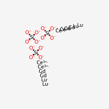 [Ce+3].[Ce+3].[Ce+3].[Ce+3].[Gd].[Gd].[Gd].[Gd].[Lu].[Lu].[Lu].[Lu].[O-][Si]([O-])([O-])[O-].[O-][Si]([O-])([O-])[O-].[O-][Si]([O-])([O-])[O-]